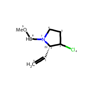 C=C[C@H]1C(Cl)CCN1BOC